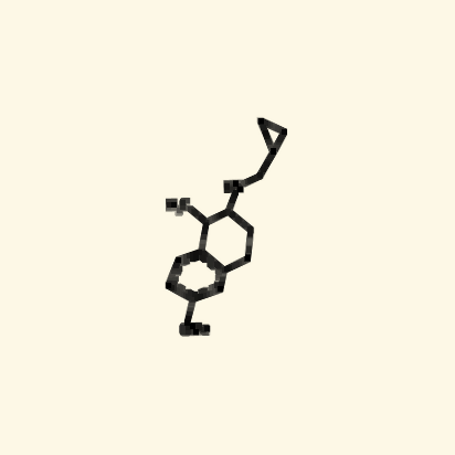 COc1ccc2c(c1)CCC(NCC1CC1)C2C